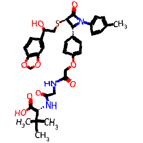 Cc1ccc(N2C(=O)[C@H](SCC(O)c3ccc4c(c3)OCO4)[C@H]2c2ccc(OCC(=O)NCC(=O)N[C@@H](C(=O)O)C(C)(C)C)cc2)cc1